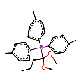 [CH2]CCC(OC)(OC)[PH](c1ccc(C)cc1)(c1ccc(C)cc1)c1ccc(C)cc1